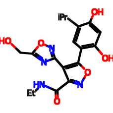 CCNC(=O)c1noc(-c2cc(C(C)C)c(O)cc2O)c1-c1noc(CO)n1